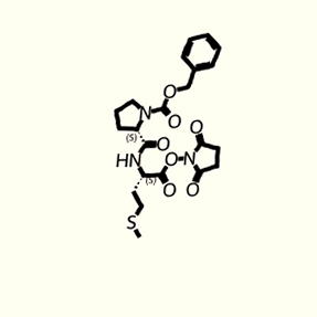 CSCC[C@H](NC(=O)[C@@H]1CCCN1C(=O)OCc1ccccc1)C(=O)ON1C(=O)CCC1=O